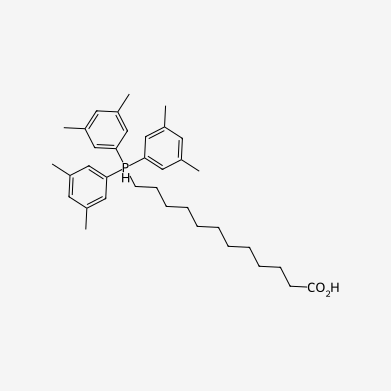 Cc1cc(C)cc([PH](CCCCCCCCCCCC(=O)O)(c2cc(C)cc(C)c2)c2cc(C)cc(C)c2)c1